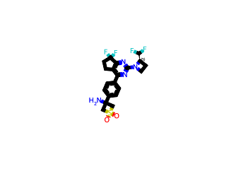 NC1(c2ccc(-c3nc(N4CC[C@H]4C(F)F)nc4c3CCC4(F)F)cc2)CS(=O)(=O)C1